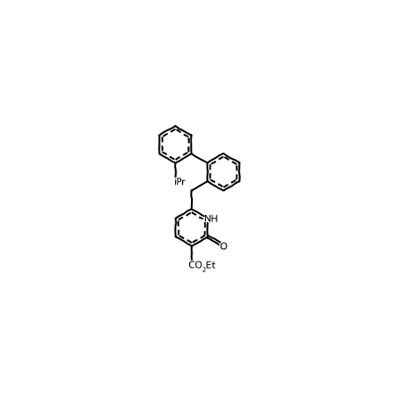 CCOC(=O)c1ccc(Cc2ccccc2-c2ccccc2C(C)C)[nH]c1=O